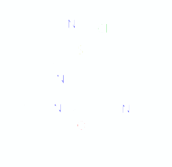 CCCn1cc(-c2c[n+](Cc3cnc(Cl)s3)c3c(C)cccn3c2=O)c2ccccc21